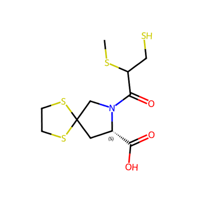 CSC(CS)C(=O)N1CC2(C[C@H]1C(=O)O)SCCS2